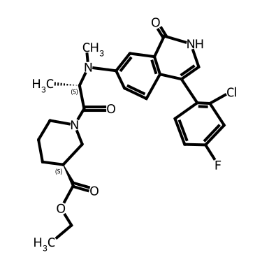 CCOC(=O)[C@H]1CCCN(C(=O)[C@H](C)N(C)c2ccc3c(-c4ccc(F)cc4Cl)c[nH]c(=O)c3c2)C1